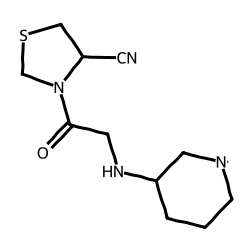 N#CC1CSCN1C(=O)CNC1CCC[N]C1